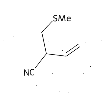 C=CC(C#N)CSC